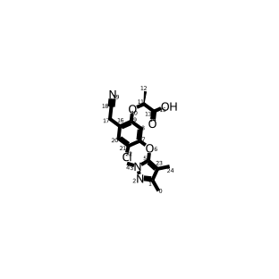 Cc1nn(C)c(Oc2cc(O[C@@H](C)C(=O)O)c(CC#N)cc2Cl)c1C